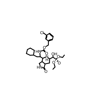 CCOP(=O)(OCC)C(O)C1CC2C(=O)NCC2C(C(CC2CCCCC2)NC(=O)OCc2cccc(Cl)c2)N1